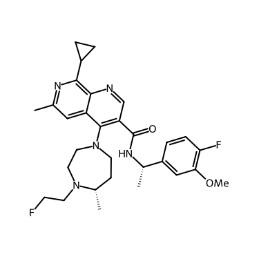 COc1cc([C@H](C)NC(=O)c2cnc3c(C4CC4)nc(C)cc3c2N2CC[C@H](C)N(CCF)CC2)ccc1F